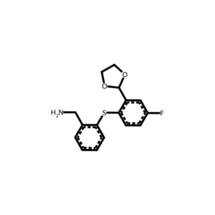 NCc1ccccc1Sc1ccc(F)cc1C1OCCO1